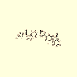 Cc1cc(-c2nc(-c3ccc4c(c3)CCC4N[C@H]3C[C@H](C)C3)no2)ccc1-c1ccccc1C#N